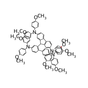 COc1ccc(N(c2ccc(OC)cc2)c2ccc(-c3ccc(N(c4ccc(OC)cc4)c4ccc(OC)cc4)cc3C3c4cc(N(c5ccc(OC)cc5)c5ccc(OC)cc5)ccc4-c4ccc(N(c5ccc(OC)cc5)c5ccc(OC)cc5)cc43)cc2)cc1